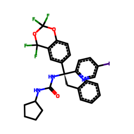 O=C(NC1CCCC1)N[C@@](Cc1ccccc1)(c1ccc2c(c1)C(F)(F)OC(F)(F)O2)c1ccc(I)cn1